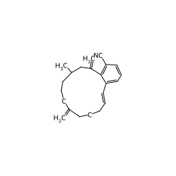 C=C1CCC/C=C/c2cccc(C#N)c2C(=C)CC(C)CCC1